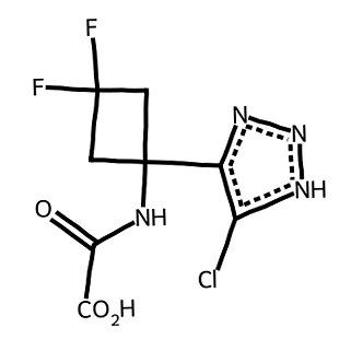 O=C(O)C(=O)NC1(c2nn[nH]c2Cl)CC(F)(F)C1